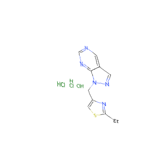 CCc1nc(Cn2ncc3cncnc32)cs1.Cl.Cl.Cl